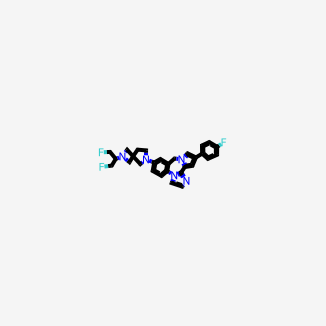 FCC(CF)N1CC2(CCN(c3ccc4c(c3)Cn3cc(-c5ccc(F)cc5)cc3-c3nccn3-4)C2)C1